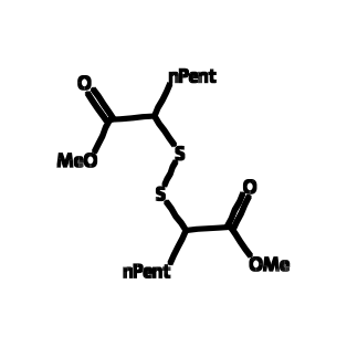 CCCCCC(SSC(CCCCC)C(=O)OC)C(=O)OC